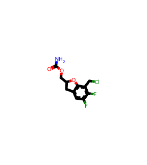 NC(=O)OCC1Cc2cc(F)c(F)c(CCl)c2O1